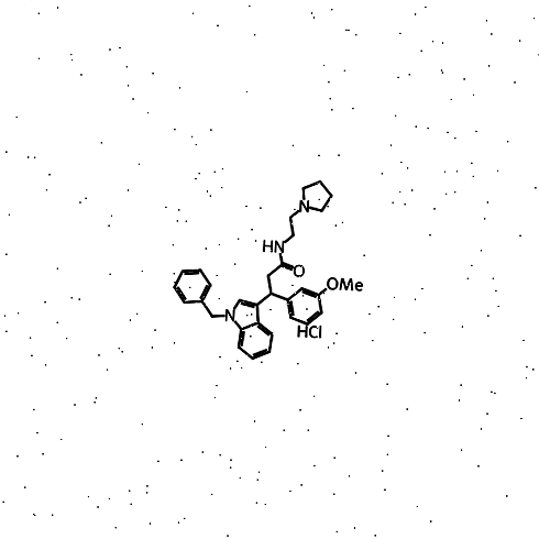 COc1cccc(C(CC(=O)NCCN2CCCC2)c2cn(Cc3ccccc3)c3ccccc23)c1.Cl